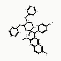 COc1nc2ccc(Br)cc2cc1C(c1ccc(Cl)cc1)C1(O)CCN(Cc2ccccc2)C(Cc2ccccc2)C1